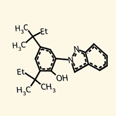 CCC(C)(C)c1cc(-n2cc3ccccc3n2)c(O)c(C(C)(C)CC)c1